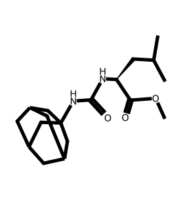 COC(=O)[C@H](CC(C)C)NC(=O)NC12CC3CC(CC(C3)C1)C2